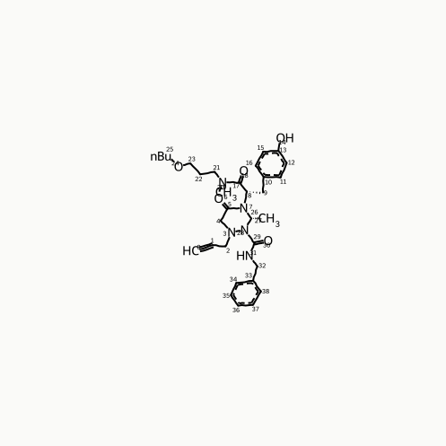 C#CCN1CC(=O)N([C@@H](Cc2ccc(O)cc2)C(=O)N(C)CCCOCCCC)[C@H](C)N1C(=O)NCc1ccccc1